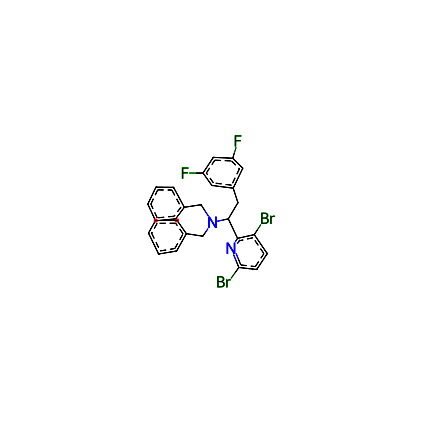 Fc1cc(F)cc(CC(c2nc(Br)ccc2Br)N(Cc2ccccc2)Cc2ccccc2)c1